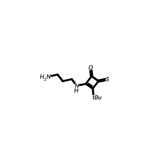 CC(C)(C)c1c(NCCCN)c(=O)c1=S